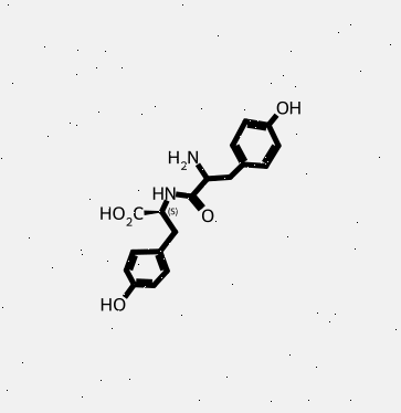 NC(Cc1ccc(O)cc1)C(=O)N[C@@H](Cc1ccc(O)cc1)C(=O)O